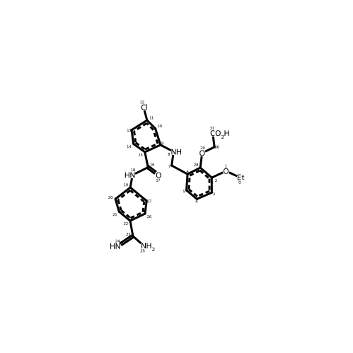 CCOc1cccc(CNc2cc(Cl)ccc2C(=O)Nc2ccc(C(=N)N)cc2)c1OCC(=O)O